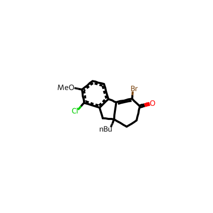 CCCCC12CCC(=O)C(Br)=C1c1ccc(OC)c(Cl)c1C2